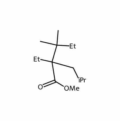 CCC(C)(C)C(CC)(CC(C)C)C(=O)OC